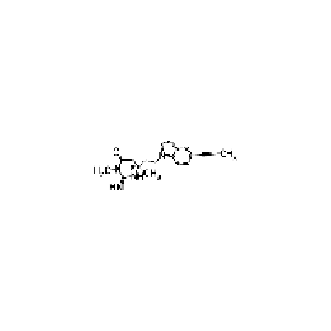 CC#Cc1ccc2c(ccn2CC[C@]2(C)CC(=O)N(C)C(=N)N2)c1